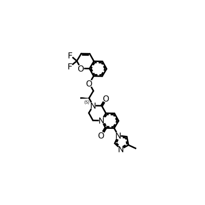 Cc1cn(-c2ccc3n(c2=O)CCN([C@@H](C)COc2cccc4c2OC(F)(F)C=C4)C3=O)cn1